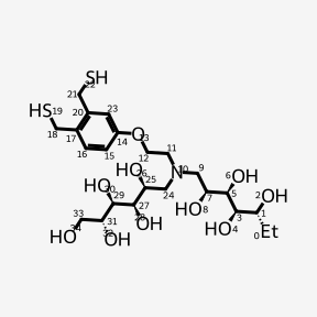 CC[C@@H](O)[C@@H](O)[C@H](O)[C@@H](O)CN(CCOc1ccc(CS)c(CS)c1)C[C@H](O)[C@@H](O)[C@H](O)[C@H](O)CO